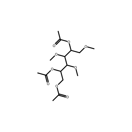 COCC(OC(C)=O)C(OC)C(OC)C(COC(C)=O)OC(C)=O